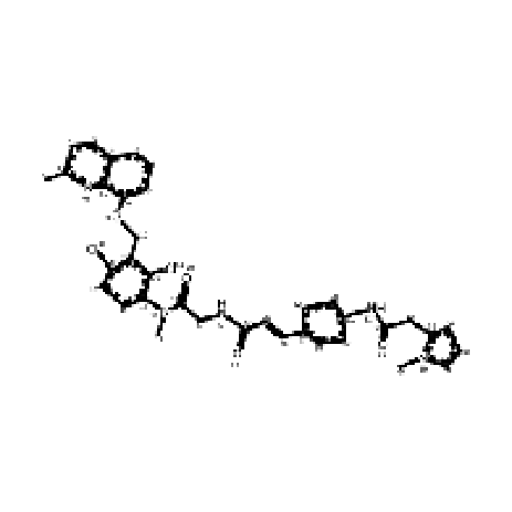 Cc1ccc2cccc(OCc3c(Cl)ccc(N(C)C(=O)CNC(=O)C=Cc4ccc(NC(=O)Cc5cccn5C)cc4)c3Cl)c2n1